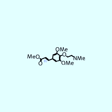 CNCCOc1c(OC)cc(/C=C/C(=O)OC)cc1OC